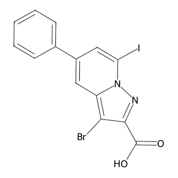 O=C(O)c1nn2c(I)cc(-c3ccccc3)cc2c1Br